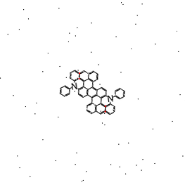 c1ccc(N(c2ccccc2)c2ccc3c4c5cccc6cccc(c7c(N(c8ccccc8)c8ccccc8)ccc(c8c9cccc%10cccc(c2c38)c%109)c74)c65)cc1